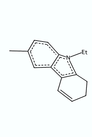 CCn1c2c(c3cc(C)ccc31)C=CCC2